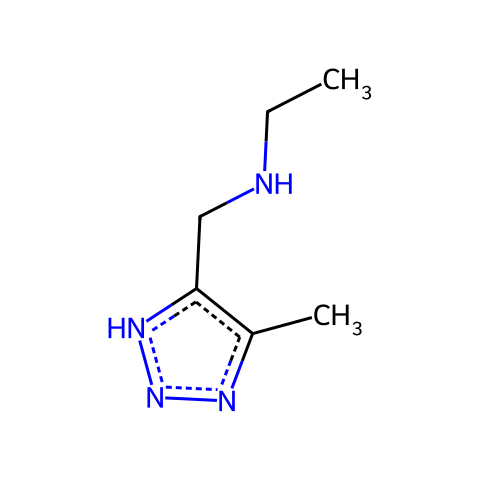 CCNCc1[nH]nnc1C